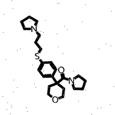 O=C(N1CCCC1)C1(c2ccc(SCCCN3CCCC3)cc2)CCOCC1